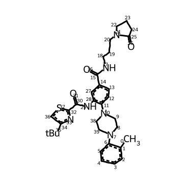 Cc1ccccc1N1CCN(c2ccc(C(=O)NCCCN3CCCC3=O)cc2NC(=O)c2nc(C(C)(C)C)cs2)CC1